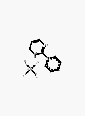 C1=CN=C([n+]2ccccc2)NC1.F[B-](F)(F)F